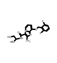 CCCCC(CO)NC(=O)c1c(C)nc2c(OCc3c(F)cccc3F)cccn12